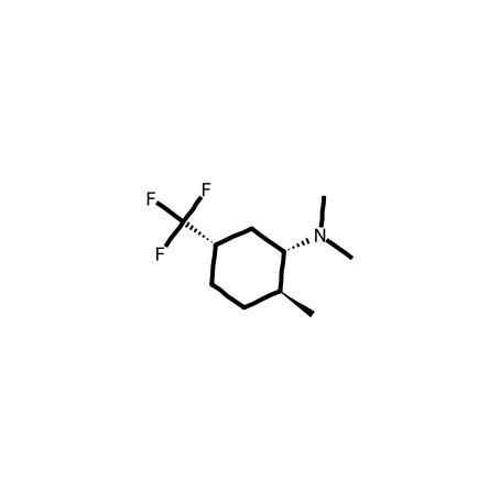 C[C@H]1CC[C@H](C(F)(F)F)C[C@@H]1N(C)C